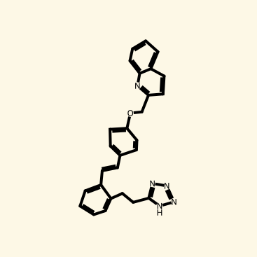 C(=C\c1ccccc1CCc1nnn[nH]1)/c1ccc(OCc2ccc3ccccc3n2)cc1